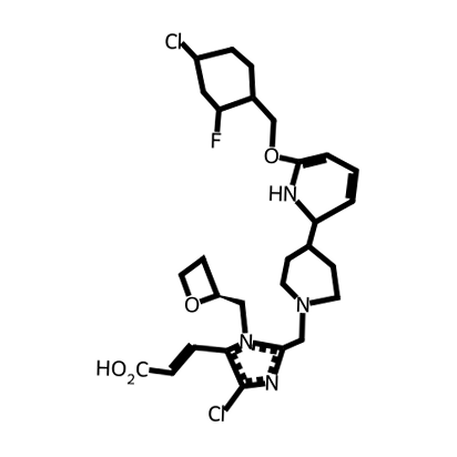 O=C(O)/C=C/c1c(Cl)nc(CN2CCC(C3C=CC=C(OCC4CCC(Cl)CC4F)N3)CC2)n1C[C@@H]1CCO1